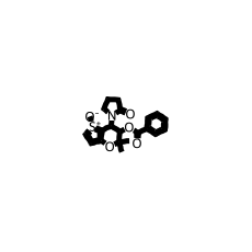 CC1(C)Oc2cc[s+]([O-])c2C(N2CCCC2=O)C1OC(=O)c1ccccc1